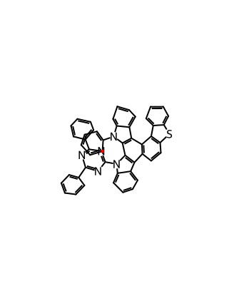 c1ccc(-c2nc(-c3ccccc3)nc(-n3c4ccccc4c4c5ccc6sc7ccccc7c6c5c5c6ccccc6n(-c6ccccc6)c5c43)n2)cc1